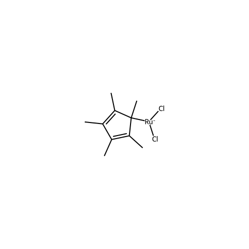 CC1=C(C)[C](C)([Ru-]([Cl])[Cl])C(C)=C1C